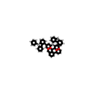 c1ccc(-c2cccc3cccc(-c4ccccc4N(c4cccc(-c5cccc6c5c5ccccc5n6-c5ccccc5)c4)c4cccc5sc6ccccc6c45)c23)cc1